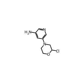 Nc1cncc(N2CCOC(Cl)C2)c1